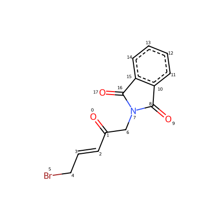 O=C(C=CCBr)CN1C(=O)c2ccccc2C1=O